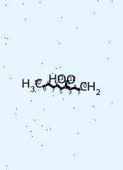 C=CC/C=C(/CCCCCC)C(=O)O